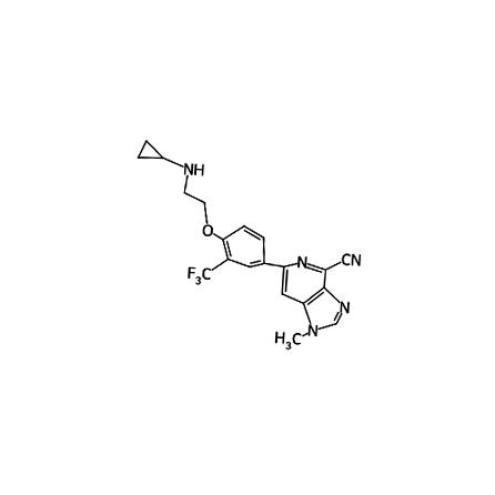 Cn1cnc2c(C#N)nc(-c3ccc(OCCNC4CC4)c(C(F)(F)F)c3)cc21